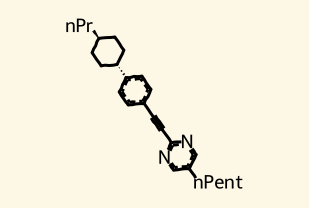 CCCCCc1cnc(C#Cc2ccc([C@H]3CC[C@H](CCC)CC3)cc2)nc1